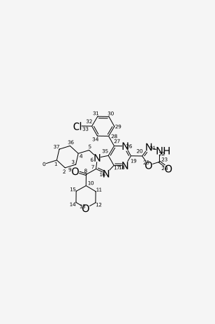 CC1CCC(Cn2c(C(=O)C3CCOCC3)nc3nc(-c4n[nH]c(=O)o4)nc(-c4cccc(Cl)c4)c32)CC1